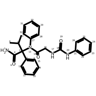 CC(C)C(C(N)=O)(c1ccccc1)N(C(=O)CNC(=O)Nc1ccccc1)c1ccccc1